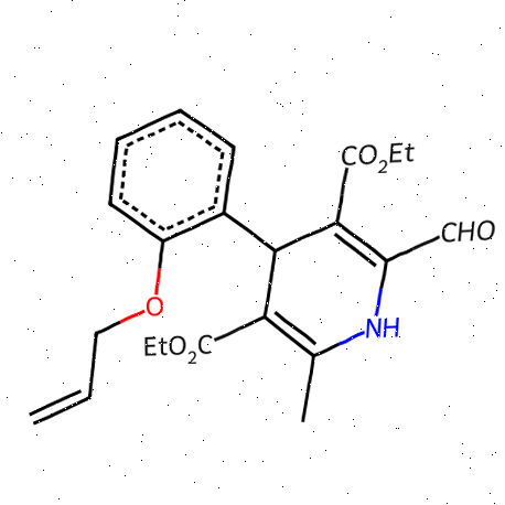 C=CCOc1ccccc1C1C(C(=O)OCC)=C(C)NC(C=O)=C1C(=O)OCC